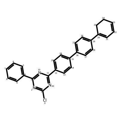 Clc1nc(-c2ccccc2)nc(-c2ccc(-c3ccc(C4=CC=CCC4)cc3)cc2)n1